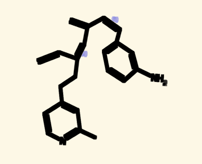 C=C/C(=C\C(=C)/C=C\c1cccc(N)c1)CCc1ccnc(C)c1